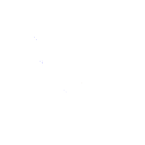 CCNc1ccc(-c2nc3ccc(CC)cc3s2)cn1